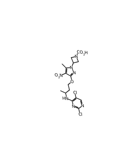 Cc1c([N+](=O)[O-])c(OCCC(C)Nc2nc(Cl)ncc2Cl)nn1C1CN(C(=O)O)C1